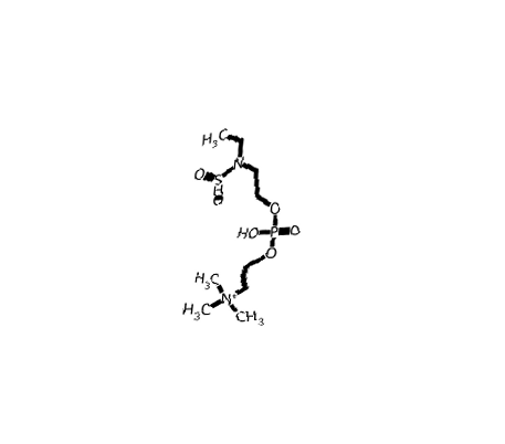 CCN(CCOP(=O)(O)OCC[N+](C)(C)C)[SH](=O)=O